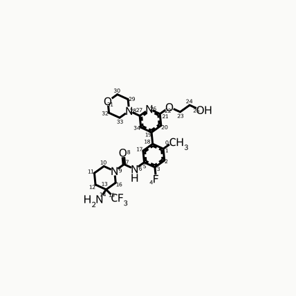 Cc1cc(F)c(NC(=O)N2CCCC(N)(C(F)(F)F)C2)cc1-c1cc(OCCO)nc(N2CCOCC2)c1